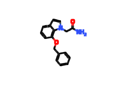 NC(=O)Cn1ccc2cccc(OCc3ccccc3)c21